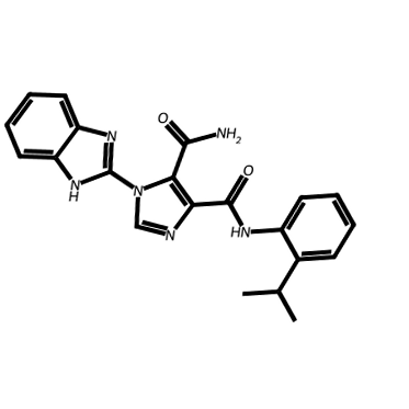 CC(C)c1ccccc1NC(=O)c1ncn(-c2nc3ccccc3[nH]2)c1C(N)=O